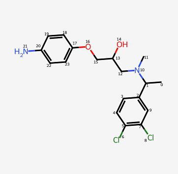 CC(c1ccc(Cl)c(Cl)c1)N(C)CC(O)COc1ccc(N)cc1